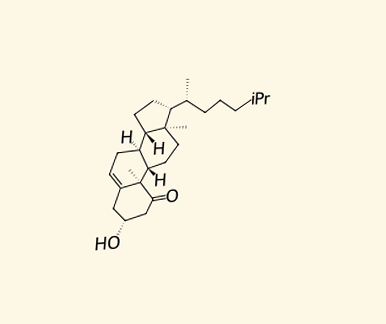 CC(C)CCC[C@@H](C)[C@H]1CC[C@H]2[C@@H]3CC=C4C[C@@H](O)CC(=O)[C@]4(C)[C@H]3CC[C@]12C